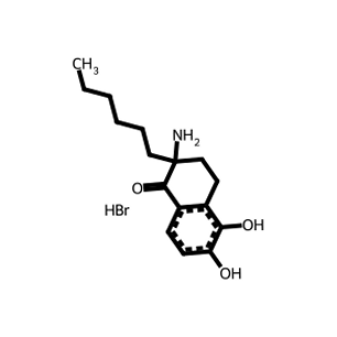 Br.CCCCCCC1(N)CCc2c(ccc(O)c2O)C1=O